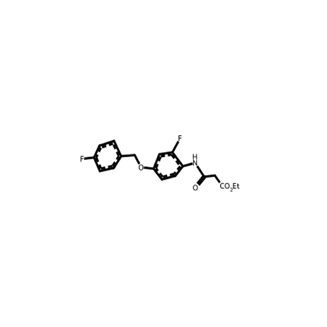 CCOC(=O)CC(=O)Nc1ccc(OCc2ccc(F)cc2)cc1F